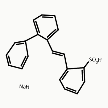 O=S(=O)(O)c1ccccc1C=Cc1ccccc1-c1ccccc1.[NaH]